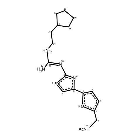 CC(=O)NCc1ccc(-c2csc(/N=C(\N)NCCC3CCCC3)n2)o1